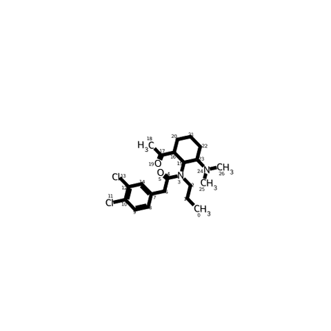 CCCN(C(=O)Cc1ccc(Cl)c(Cl)c1)C1C(C(C)=O)CCCC1N(C)C